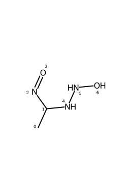 CC(N=O)NNO